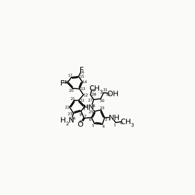 CCNc1ccc(C(=O)c2cc(Cc3cc(F)cc(F)c3)ccc2N)c(NC(CC)CCO)c1